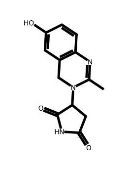 CC1=Nc2ccc(O)cc2CN1C1CC(=O)NC1=O